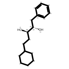 O[C@H](CCC1CCCCC1)[C@@H](O)Cc1ccccc1